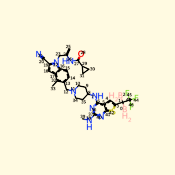 BC(B)(c1cc2c(NC3CCN(Cc4ccc5c(cc(C#N)n5CC(=C)NC(=O)C5CC5)c4C)CC3)nc(NC)nc2s1)C(F)(F)F